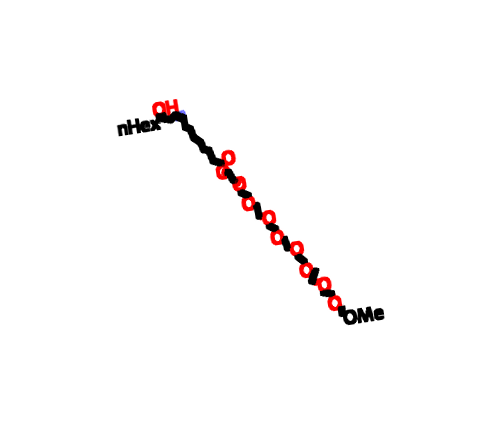 CCCCCC[C@@H](O)C/C=C\CCCCCCCC(=O)OCCOCCOCCOCCOCCOCCOCCOCCOCCOC